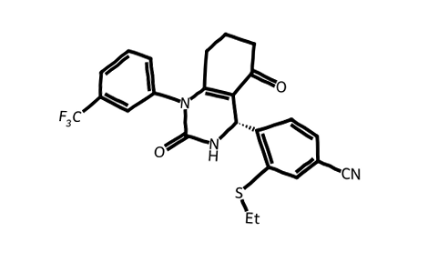 CCSc1cc(C#N)ccc1[C@@H]1NC(=O)N(c2cccc(C(F)(F)F)c2)C2=C1C(=O)CCC2